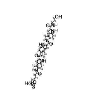 O=C(NCCCO)c1cc2c3c(ccc2[nH]1)N(C(=O)c1cc2c4c(ccc2[nH]1)N(C(=O)c1cc2c5c(ccc2[nH]1)N(C(=O)CCCO[PH](=O)O)CC5)CC4)CC3